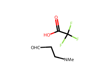 CNCCC=O.O=C(O)C(F)(F)F